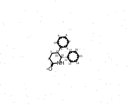 O=C1CC[C@@H](c2ccccc2)[C@H](c2ccccc2)N1